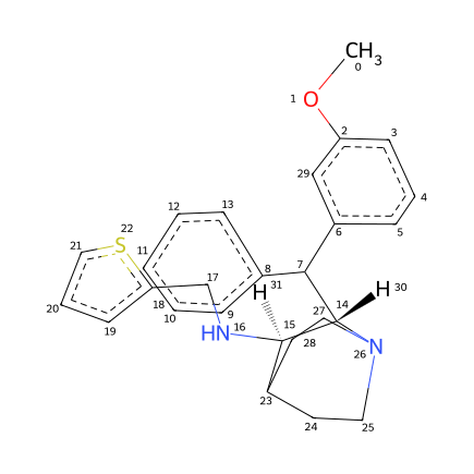 COc1cccc(C(c2ccccc2)[C@H]2[C@H](NCc3cccs3)C3CCN2CC3)c1